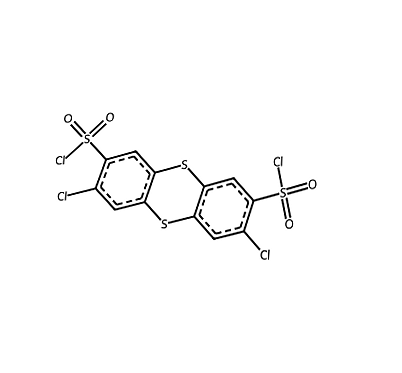 O=S(=O)(Cl)c1cc2c(cc1Cl)Sc1cc(Cl)c(S(=O)(=O)Cl)cc1S2